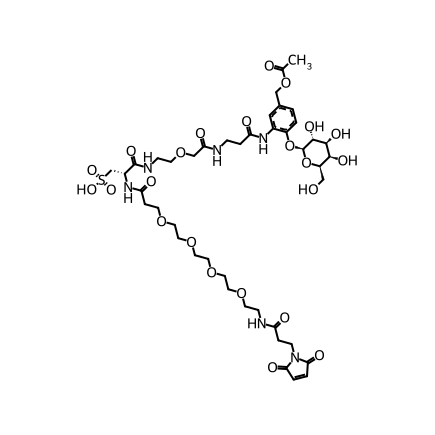 CC(=O)OCc1ccc(O[C@@H]2O[C@H](CO)[C@H](O)[C@H](O)[C@H]2O)c(NC(=O)CCNC(=O)COCCNC(=O)[C@@H](CS(=O)(=O)O)NC(=O)CCOCCOCCOCCOCCNC(=O)CCN2C(=O)C=CC2=O)c1